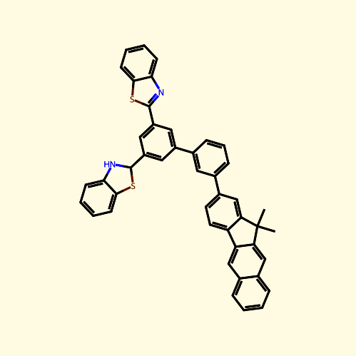 CC1(C)c2cc(-c3cccc(-c4cc(-c5nc6ccccc6s5)cc(C5Nc6ccccc6S5)c4)c3)ccc2-c2cc3ccccc3cc21